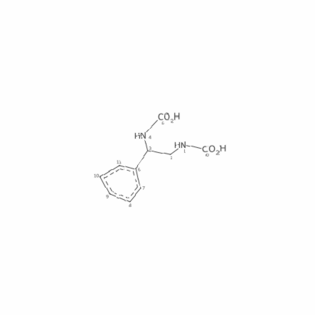 O=C(O)NCC(NC(=O)O)c1ccccc1